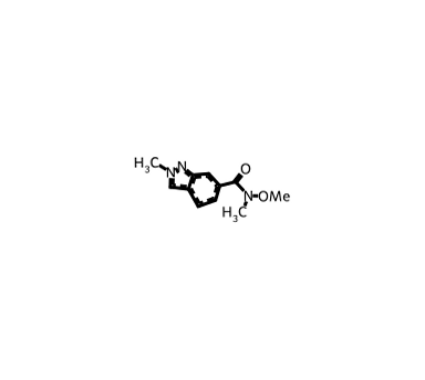 CON(C)C(=O)c1ccc2cn(C)nc2c1